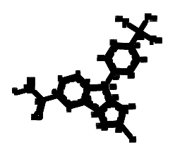 CNC(=O)c1ccc2c(c1)c1sc(C)nc1n2-c1ccc(C(F)(F)F)cc1